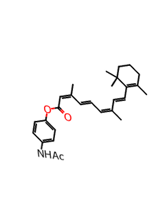 CC(=O)Nc1ccc(OC(=O)C=C(C)C=CC=C(C)C=CC2=C(C)CCCC2(C)C)cc1